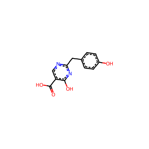 O=C(O)c1cnc(Cc2ccc(O)cc2)nc1O